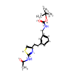 CC(=O)Nc1nc(CCc2cccc(CNC(=O)OC(C)(C)C)c2)cs1